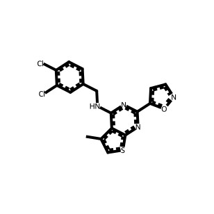 Cc1csc2nc(-c3ccno3)nc(NCc3ccc(Cl)c(Cl)c3)c12